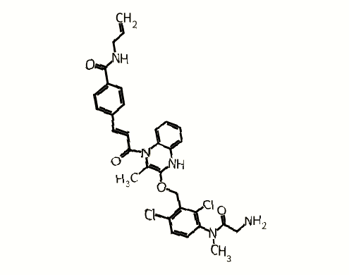 C=CCNC(=O)c1ccc(C=CC(=O)N2C(C)=C(OCc3c(Cl)ccc(N(C)C(=O)CN)c3Cl)Nc3ccccc32)cc1